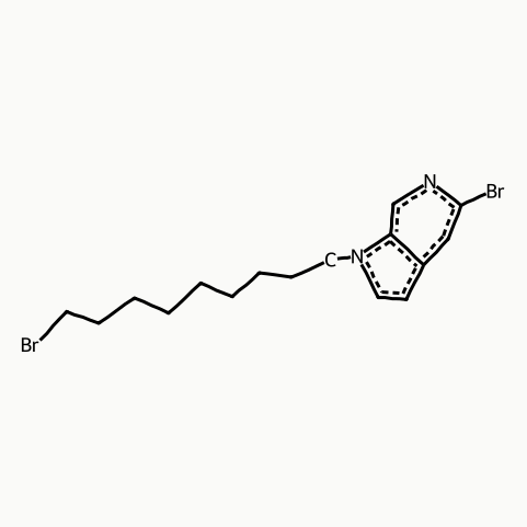 BrCCCCCCCCCn1ccc2cc(Br)ncc21